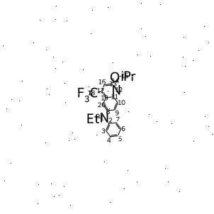 CCN(c1ccccc1)c1ccc2nc(OC(C)C)cc(C(F)(F)F)c2c1